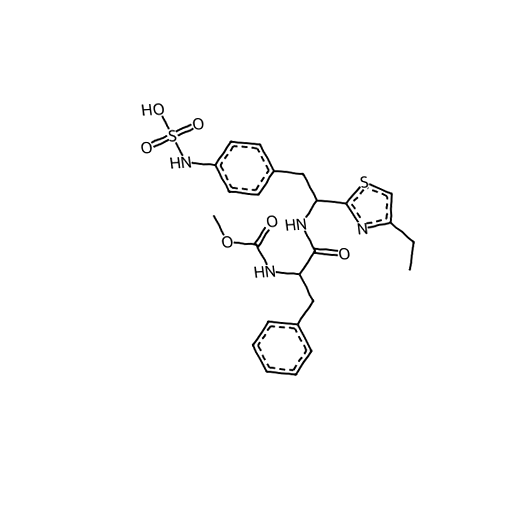 CCc1csc(C(Cc2ccc(NS(=O)(=O)O)cc2)NC(=O)C(Cc2ccccc2)NC(=O)OC)n1